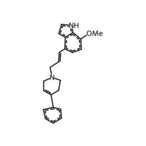 COc1ccc(C=CCN2CC=C(c3ccccc3)CC2)c2cc[nH]c12